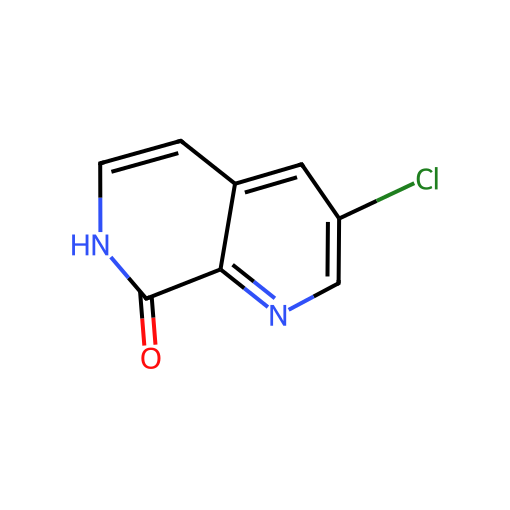 O=c1[nH]ccc2cc(Cl)cnc12